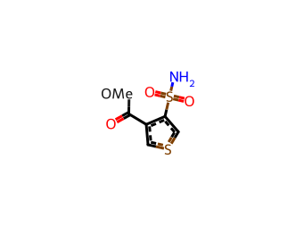 COC(=O)c1cscc1S(N)(=O)=O